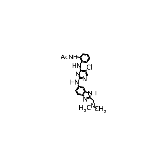 CC(=O)Nc1ccccc1Nc1nc(Nc2ccc3nc(CN(C)C)[nH]c3c2)ncc1Cl